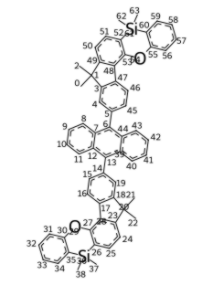 CC1(C)c2cc(-c3c4ccccc4c(-c4ccc5c(c4)C(C)(C)c4ccc6c(c4-5)Oc4ccccc4[Si]6(C)C)c4ccccc34)ccc2-c2c1ccc1c2Oc2ccccc2[Si]1(C)C